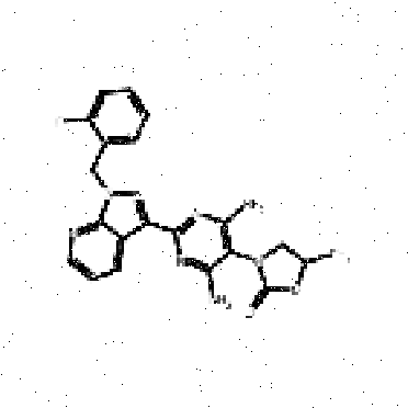 CC1CN(c2c(N)nc(-c3nn(Cc4ccccc4F)c4ncccc34)nc2N)C(=O)O1